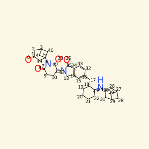 O=C1CC2CC(N3C(=O)CCC(N4Cc5cc(C[C@H]6CCCC[C@@H]6NC6CC7CC(C7)C6)ccc5C4=O)C3=O)(C1)C2